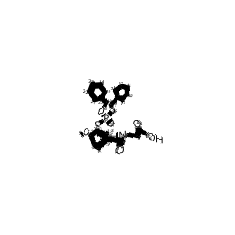 COc1ccc(C(=O)NCC(=O)O)cc1SP(=O)(OCc1ccccc1)OCc1ccccc1